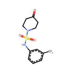 O=C1CCN(S(=O)(=O)Nc2cccc(C(F)(F)F)c2)CC1